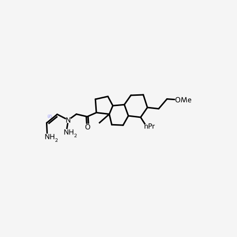 CCCC1C(CCOC)CCC2C1CCC1(C)C(C(=O)CN(N)/C=C\N)CCC21